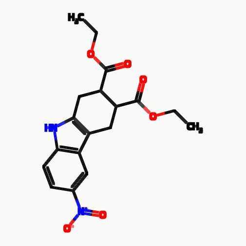 CCOC(=O)C1Cc2[nH]c3ccc([N+](=O)[O-])cc3c2CC1C(=O)OCC